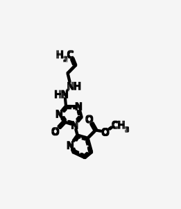 C=CCNNc1ncn(-c2ncccc2C(=O)OC)c(=O)n1